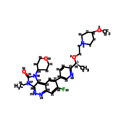 C[C@@H](OCCN1CCC(OC(F)(F)F)CC1)c1ccc(-c2cc3c(cc2F)nnc2c3n(C3CCOCC3)c(=O)n2C)cn1